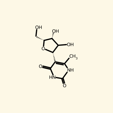 Cc1[nH]c(=O)[nH]c(=O)c1[C@@H]1O[C@H](CO)[C@H](O)C1O